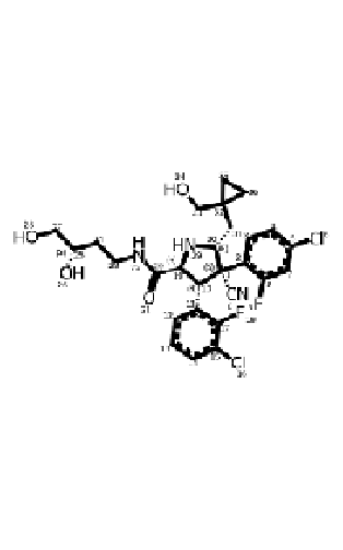 N#C[C@]1(c2ccc(Cl)cc2F)[C@H](c2cccc(Cl)c2F)[C@@H](C(=O)NCC[C@H](O)CO)N[C@@H]1CC1(CO)CC1